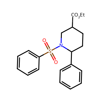 CCOC(=O)C1CCC(c2ccccc2)N(S(=O)(=O)c2ccccc2)C1